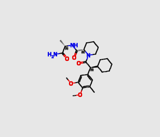 COc1cc([C@@H](C(=O)N2CCCC[C@H]2C(=O)N[C@@H](C)C(N)=O)C2CCCCC2)cc(C)c1OC